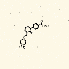 COC(=O)c1ccc(C2CCCN(CCN3CCS(=O)(=O)CC3)C2=O)cc1